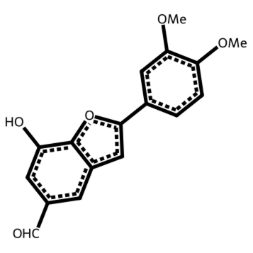 COc1ccc(-c2cc3cc(C=O)cc(O)c3o2)cc1OC